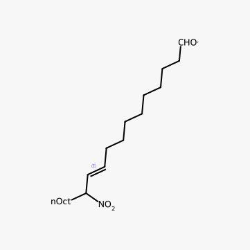 CCCCCCCCC(/C=C/CCCCCCCC[C]=O)[N+](=O)[O-]